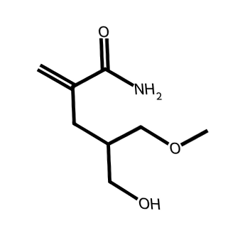 C=C(CC(CO)COC)C(N)=O